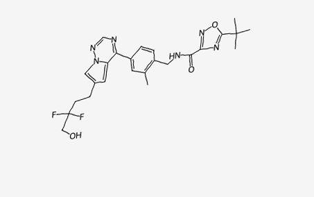 Cc1cc(-c2ncnn3cc(CCC(F)(F)CO)cc23)ccc1CNC(=O)c1noc(C(C)(C)C)n1